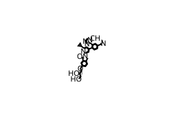 Cn1cnnc1-c1cc(C#N)ccc1-c1cc(C2CC2)nc(N2Cc3ccc(OC[C@H](O)CO)cc3C2=O)c1